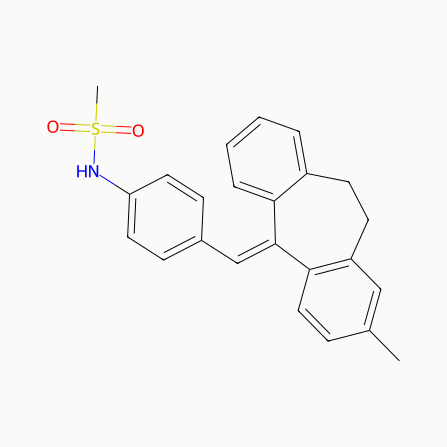 Cc1ccc2c(c1)CCc1ccccc1C2=Cc1ccc(NS(C)(=O)=O)cc1